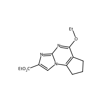 CCOC(=O)c1cn2c3c(c(OCC)nc2n1)CCC3